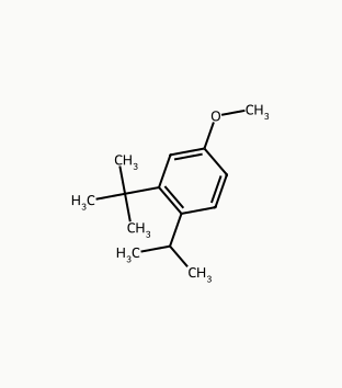 COc1ccc(C(C)C)c(C(C)(C)C)c1